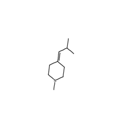 CC(C)C=C1CCN(C)CC1